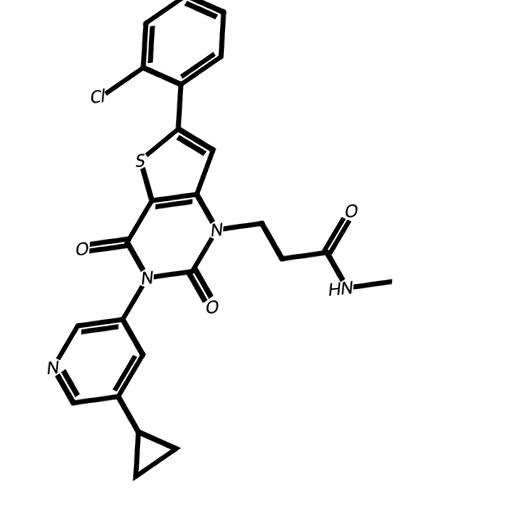 CNC(=O)CCn1c(=O)n(-c2cncc(C3CC3)c2)c(=O)c2sc(-c3ccccc3Cl)cc21